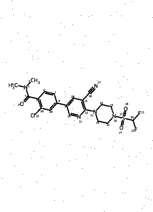 CN(C)C(=O)c1ccc(-c2cnc(N3CCN(S(=O)(=O)C(F)F)CC3)c(C#N)c2)cc1Cl